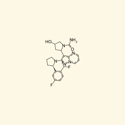 NC(=O)N1CC(O)CC1c1c(N2CCC[C@@H]2c2cc(F)ccc2C(F)F)nn2cccnc12